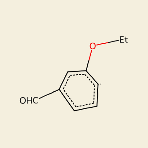 CCOc1[c]ccc(C=O)c1